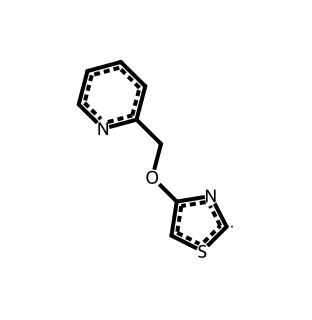 [c]1nc(OCc2ccccn2)cs1